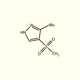 CC(C)(C)c1n[nH]cc1S(C)(=O)=O